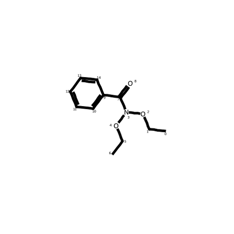 CCON(OCC)C(=O)c1cc[c]cc1